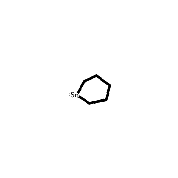 C1C[CH2][Sn][CH2]C1